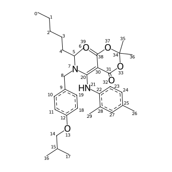 CCCCCC(C)N(Cc1ccc(OCC(C)C)cc1)C(Nc1ccc(C)cc1C)=C1C(=O)OC(C)(C)OC1=O